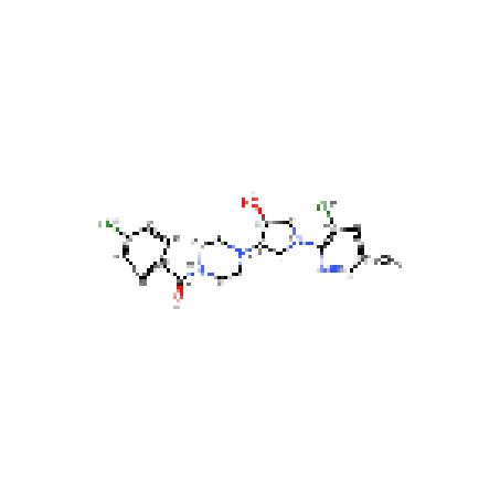 Cc1cnc(N2CC(N3CCN(C(=O)c4ccc(Cl)cc4)CC3)[C@@H](O)C2)c(Cl)c1